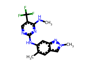 CNc1nc(Nc2cc3nn(C)cc3cc2C)ncc1C(F)(F)F